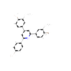 COc1cc(-c2cc(-c3ccc(Br)cc3)nc(-c3ccc(Br)c(OC)c3)c2)ccc1Br